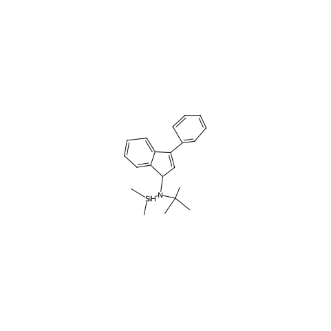 C[SiH](C)N(C1C=C(c2ccccc2)c2ccccc21)C(C)(C)C